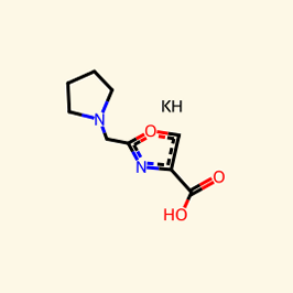 O=C(O)c1coc(CN2CCCC2)n1.[KH]